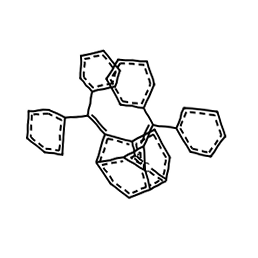 c1ccc(C(c2ccccc2)=c2c3ccc(cc3)c3ccc2c2c(=C(c4ccccc4)c4ccccc4)c32)cc1